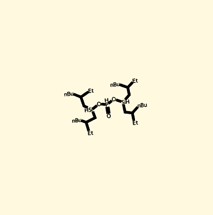 CCCCC(CC)C[SiH](CC(CC)CCCC)O[PH](=O)O[SiH](CC(CC)CCCC)CC(CC)CCCC